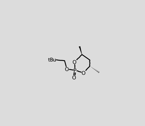 C[C@H]1C[C@H](C)OP(=O)(OCC(C)(C)C)O1